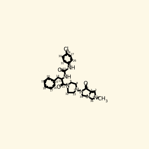 CN1C=C2C(=O)N(N3CCN(C(=O)C(Cc4ccccc4)NC(=O)Nc4ccc(Cl)cc4)CC3)CN2C1